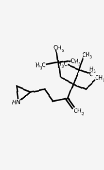 C=C(CCC1CN1)C(CC)(CC(C)(C)C)C(C)(C)C